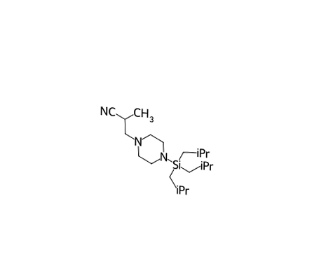 CC(C)C[Si](CC(C)C)(CC(C)C)N1CCN(CC(C)C#N)CC1